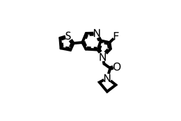 O=C(Cn1cc(F)c2ncc(-c3cccs3)cc21)N1CCC1